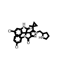 CC1(c2c3c(nn2CC2CCCN2)C(=O)N(c2cccc(Cl)c2)C32C(=O)Nc3cc(Cl)ccc32)CC1